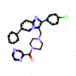 O=C(c1cnccn1)N1CCN(Cc2c(-c3ccc(Cl)cc3)nc3ccc(-c4ccccc4)cn23)CC1